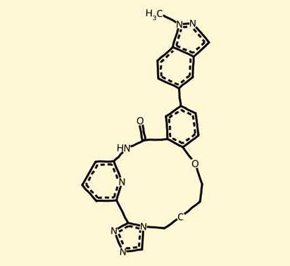 Cn1ncc2cc(-c3ccc4c(c3)C(=O)Nc3cccc(n3)-c3nncn3CCCCO4)ccc21